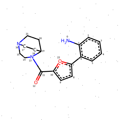 Nc1ccccc1-c1ccc(C(=O)N2CCN3CCC2CC3)o1